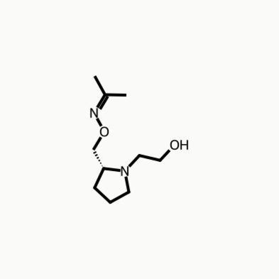 CC(C)=NOC[C@H]1CCCN1CCO